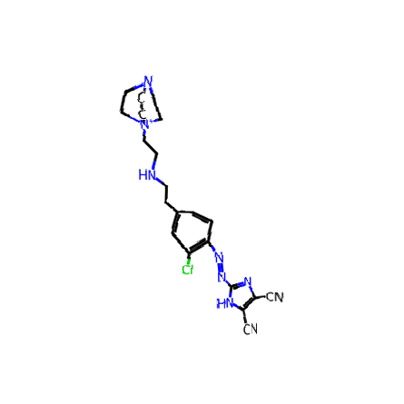 N#Cc1nc(N=Nc2ccc(CCNCC[N+]34CCN(CC3)CC4)cc2Cl)[nH]c1C#N